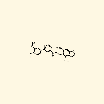 CCOc1cc(-c2cc(NCCc3c(OC)cc4occc4c3C)ncn2)ccc1CC(=O)O